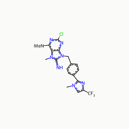 CNc1nc(Cl)nc2c1n(C)c(=N)n2Cc1ccc(-c2nc(C(F)(F)F)cn2C)cc1